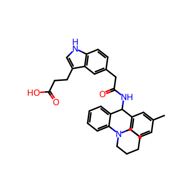 Cc1cccc(C(NC(=O)Cc2ccc3[nH]cc(CCC(=O)O)c3c2)c2ccccc2N2CCCCC2)c1